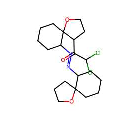 O=C(C(Cl)Cl)C1CCOC12CCCCC2N=NC1CCCCC12CCCO2